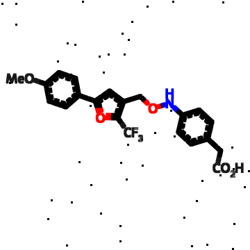 COc1ccc(-c2cc(CONc3ccc(CC(=O)O)cc3)c(C(F)(F)F)o2)cc1